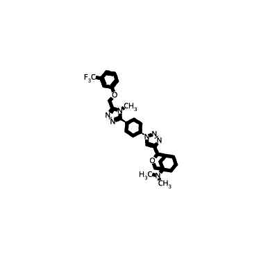 CN(C)C12CCCC(C1)C(c1cn([C@H]3CC[C@H](c4nnc(COc5cccc(C(F)(F)F)c5)n4C)CC3)nn1)OC2